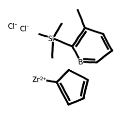 Cc1cccbc1[Si](C)(C)C.[Cl-].[Cl-].[Zr+2][C]1=CC=CC1